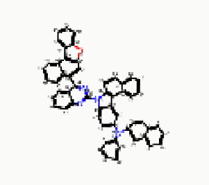 c1ccc(N(c2ccc3ccccc3c2)c2ccc3c(c2)c2c4ccccc4ccc2n3-c2nc(-c3cc4oc5ccccc5c4c4ccccc34)c3ccccc3n2)cc1